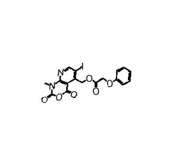 Cn1c(=O)oc(=O)c2c(COC(=O)COc3ccccc3)c(I)cnc21